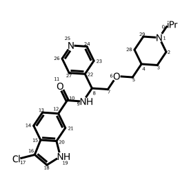 CC(C)N1CCC(COCC(NC(=O)c2ccc3c(Cl)c[nH]c3c2)c2ccncc2)CC1